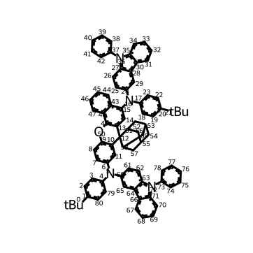 CC(C)(C)c1ccc(N(c2ccc3c(c2)C2(c4cc(N(c5ccc(C(C)(C)C)cc5)c5ccc6c(c5)c5ccccc5n6-c5ccccc5)c5ccccc5c4O3)C3CC4CC(C3)CC2C4)c2ccc3c(c2)c2ccccc2n3-c2ccccc2)cc1